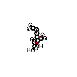 CCC1CN2CCc3cc(OC)c(OC)cc3C2CC1CC1c2cc(OC)c(OC)cc2CCN1C(=O)/C=C(/CC(=O)O)C(=O)O